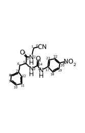 N#CCNC(=O)C(Cc1ccccc1)NC(=O)Nc1ccc([N+](=O)[O-])cc1